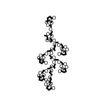 CC(CO)OC(COCC(=O)ON1C(=O)CCC1=O)OCC(C)OC(COCC(=O)ON1C(=O)CCC1=O)OCC(C)OC(COCC(=O)ON1C(=O)CCC1=O)OCC(C)OC(COCC(=O)ON1C(=O)CCC1=O)OCC(C)OC(COCC(=O)ON1C(=O)CCC1=O)OCCOCC(=O)ON1C(=O)CCC1=O